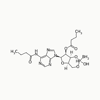 B[PH]1(O)OC[C@H]2O[C@@H](n3cnc4c(NC(=O)CCC)ncnc43)[C@@H](OC(=O)CCC)[C@H]2O1